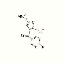 C1CN1.O=C(c1ccc(F)cc1)c1cnoc1C1CC1